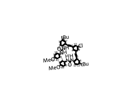 COc1ccc(NC(=O)Nc2ccc(C(C)(C)C)cc2C#Cc2cc(Cl)cc(C#Cc3cc(C(C)(C)C)ccc3NC(=O)Nc3ccc(OC)cc3)c2)cc1